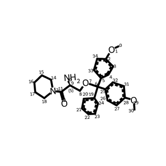 COc1ccc(C(OC[C@H](N)C(=O)N2CCCCC2)(c2ccccc2)c2ccc(OC)cc2)cc1